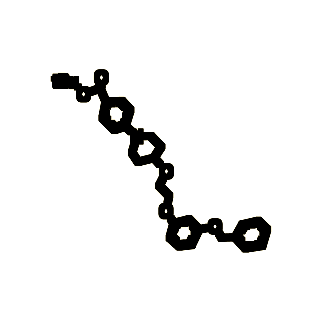 CC(C)(C)OC(=O)c1ccc(N2CCC(OCCOc3cccc(OCc4ccccc4)c3)CC2)cc1